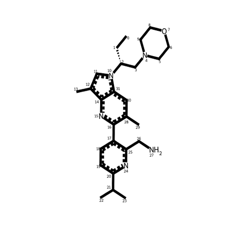 CC[C@H](CN1CCOCC1)n1cc(C)c2nc(-c3ccc(C(C)C)nc3CN)c(C)cc21